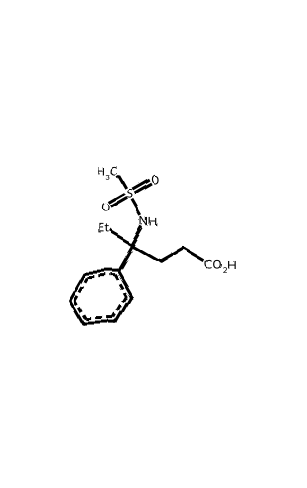 CCC(CCC(=O)O)(NS(C)(=O)=O)c1ccccc1